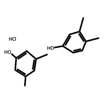 Cc1cc(C)cc(O)c1.Cc1ccc(O)cc1C.Cl